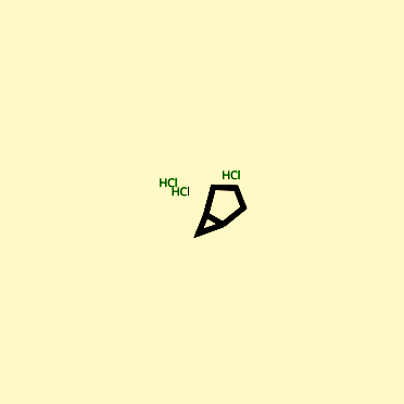 C1CC2CC2C1.Cl.Cl.Cl